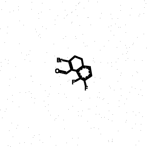 O=CC1=C(Br)CCc2ccc(F)c(F)c21